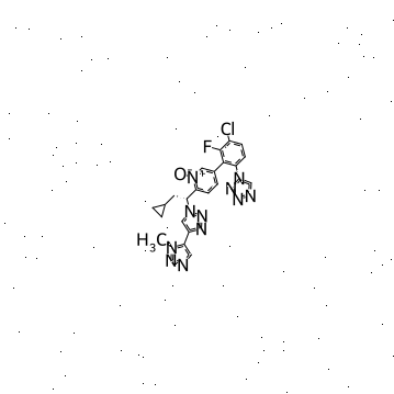 Cn1nncc1-c1cn([C@H](CC2CC2)c2ccc(-c3c(-n4cnnn4)ccc(Cl)c3F)c[n+]2[O-])nn1